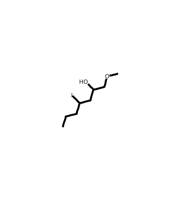 CCCC(I)CC(O)COC